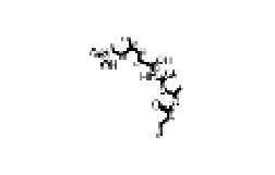 CCCC(=O)OC(C)OC(=O)NC(O)CCC(C)CC[PH](=O)O